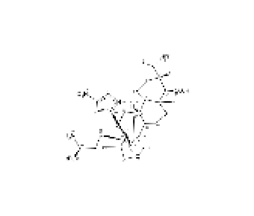 CC(C)[C@@H](C)[C@@]1(C)CC[C@]2(C)[C@H]3CC[C@H]4[C@]5(C)COC[C@]4(C3=CC[C@@]2(C)[C@@H]1C(=O)O)C(C)[C@@H](n1cc([N+](=O)[O-])cn1)[C@@H]5OC[C@H](N)C(C)(C)C